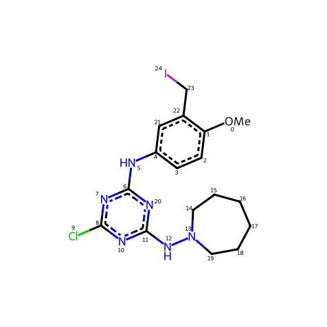 COc1ccc(Nc2nc(Cl)nc(NN3CCCCCC3)n2)cc1CI